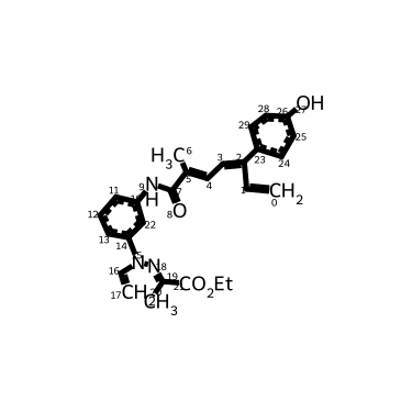 C=C/C(=C\C=C(/C)C(=O)Nc1cccc(N(C=C)/N=C(\C)C(=O)OCC)c1)c1ccc(O)cc1